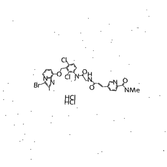 CNC(=O)c1ccc(/C=C/C(=O)NCC(=O)N(C)c2ccc(Cl)c(COc3cccn4c(Br)c(C)nc34)c2Cl)cn1.Cl.Cl